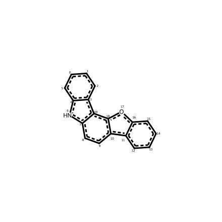 c1ccc2c(c1)[nH]c1ccc3c4ccccc4oc3c12